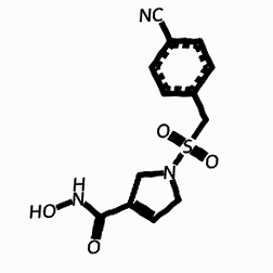 N#Cc1ccc(CS(=O)(=O)N2CC=C(C(=O)NO)C2)cc1